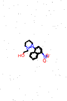 O=[N+]([O-])c1ccc(N2CCCCN2CCO)c2ccccc12